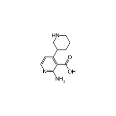 Nc1nccc(C2CCCNC2)c1C(=O)O